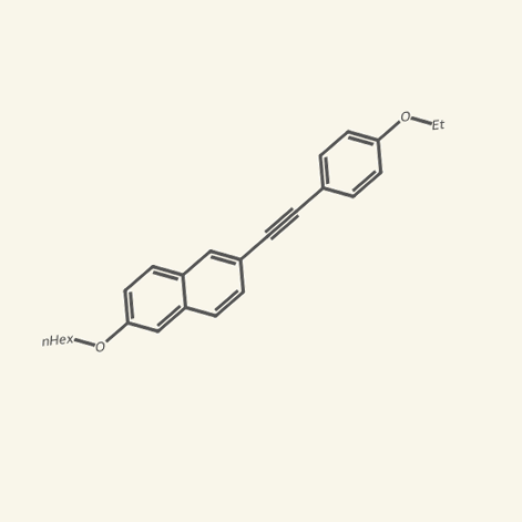 CCCCCCOc1ccc2cc(C#Cc3ccc(OCC)cc3)ccc2c1